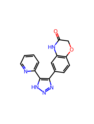 O=C1COc2ccc(-c3nn[nH]c3-c3ccccn3)cc2N1